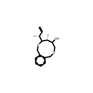 C=C[C@@H](C)C1OCc2ccccc2COCC(O)[C@H]1C